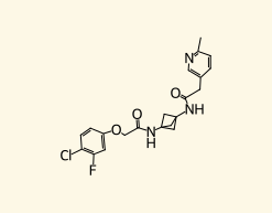 Cc1ccc(CC(=O)NC23CC(NC(=O)COc4ccc(Cl)c(F)c4)(C2)C3)cn1